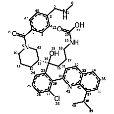 CNCc1ccc(C(=O)N2CCC[C@@H](C(O)(CCCNC(=O)O)c3cccc(Cl)c3-c3ccc4cccc(C(C)C)c4n3)C2)cc1